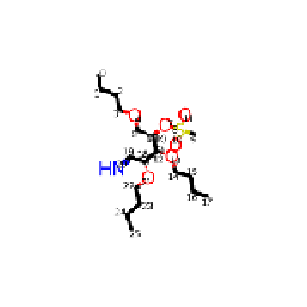 CCCCOC[C@@H](OS(C)(=O)=O)[C@@H](OCCCC)[C@@H](C=N)OCCCC